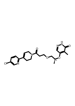 Cc1c(O[C@@H](C)COCCC(=O)N2CC=C(c3ccc(Cl)cn3)CC2)cn[nH]c1=O